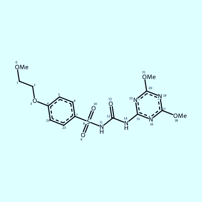 COCCOc1ccc(S(=O)(=O)NC(=O)Nc2nc(OC)nc(OC)n2)cc1